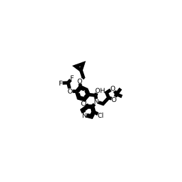 CC1(C)OCC(CN(c2c(Cl)cncc2Cl)C(O)c2ccc(OC(F)F)c(OCC3CC3)c2)O1